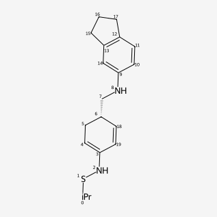 CC(C)SNC1=CC[C@H](CNc2ccc3c(c2)CCC3)C=C1